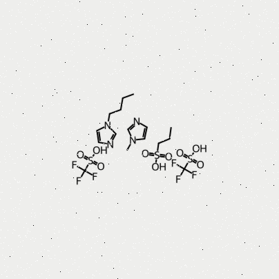 CCCCn1ccnc1.CCCS(=O)(=O)O.Cn1ccnc1.O=S(=O)(O)C(F)(F)F.O=S(=O)(O)C(F)(F)F